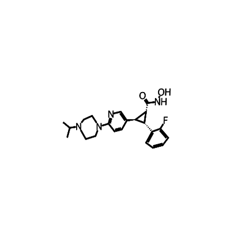 CC(C)N1CCN(c2ccc([C@H]3[C@H](C(=O)NO)[C@@H]3c3ccccc3F)cn2)CC1